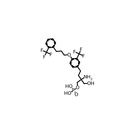 NC(CO)(CCc1ccc(OCCCc2ccccc2C(F)(F)F)c(C(F)(F)F)c1)COP(=O)(O)O